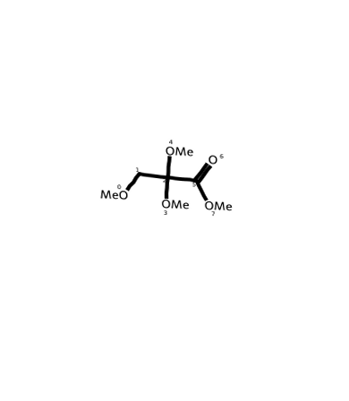 COCC(OC)(OC)C(=O)OC